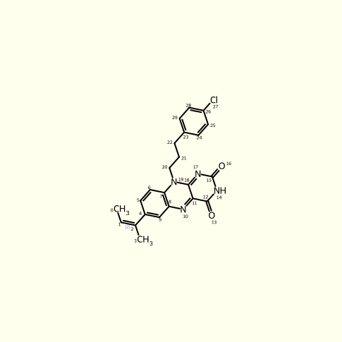 C/C=C(/C)c1ccc2c(c1)nc1c(=O)[nH]c(=O)nc-1n2CCCc1ccc(Cl)cc1